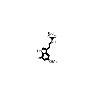 COc1cc(F)c2[nH]cc(CCNC(=O)OC(C)(C)C)c2c1